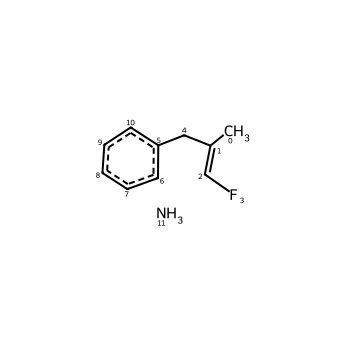 CC(=CF)Cc1ccccc1.N